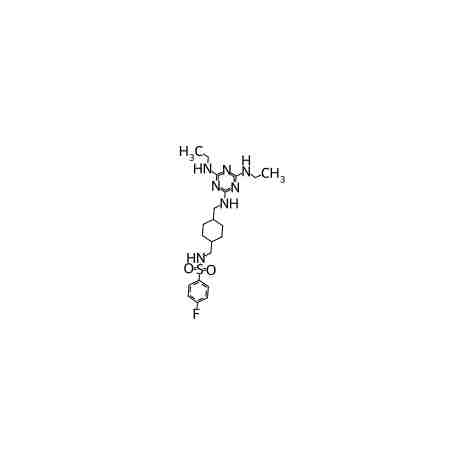 CCNc1nc(NCC)nc(NCC2CCC(CNS(=O)(=O)c3ccc(F)cc3)CC2)n1